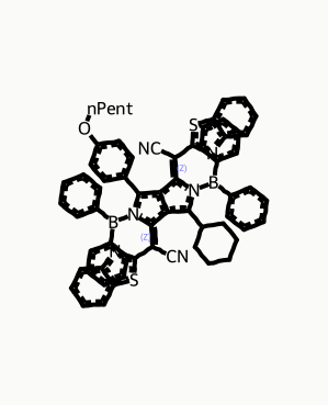 CCCCCOc1ccc(-c2c3/c(=C(\C#N)c4nc5ccccc5s4)n(B(c4ccccc4)c4ccccc4)c(C4CCCCC4)c3/c(=C(\C#N)c3nc4ccccc4s3)n2B(c2ccccc2)c2ccccc2)cc1